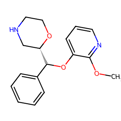 COc1ncccc1OC(c1ccccc1)[C@@H]1CNCCO1